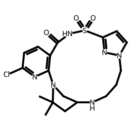 CC1(C)CC2CN1c1nc(Cl)ccc1C(=O)NS(=O)(=O)c1ccn(n1)CCCN2